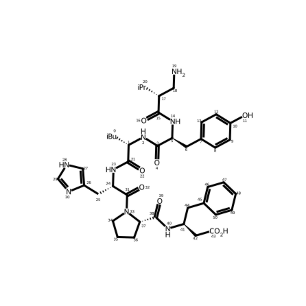 CCC(C)[C@H](NC(=O)[C@H](Cc1ccc(O)cc1)NC(=O)[C@@H](CN)C(C)C)C(=O)N[C@@H](Cc1c[nH]cn1)C(=O)N1CCC[C@H]1C(=O)N[C@H](CC(=O)O)Cc1ccccc1